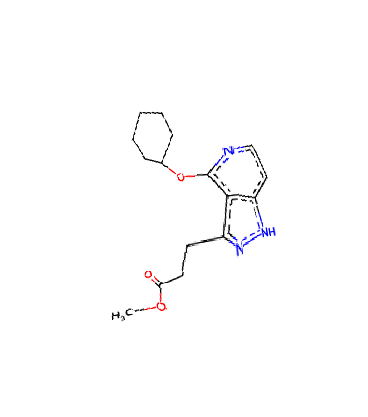 COC(=O)CCc1n[nH]c2ccnc(OC3CCCCC3)c12